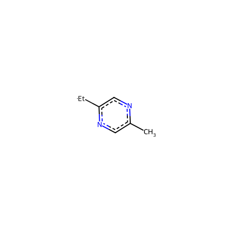 C[CH]c1cnc(C)cn1